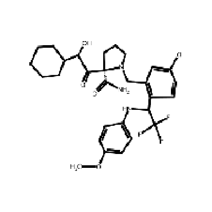 COc1ccc(NC(c2ccc(Cl)cc2CN2CCC[C@]2(C(N)=O)C(=O)[C@H](O)C2CCCCC2)C(F)(F)F)cc1